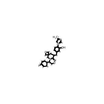 Cc1cn(-c2ccc(CC3CC4(COC4)CN4C3=NOCC4C3C=CC(F)=CC3)cc2O)cn1